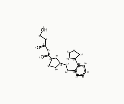 O=C(CCO)CC(=O)C1CCC(CCc2ccccc2C2CCCC2)C1